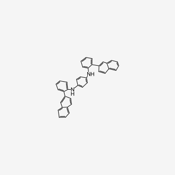 c1ccc(-c2ccc3ccccc3c2)c(Nc2ccc(Nc3ccccc3-c3ccc4ccccc4c3)cc2)c1